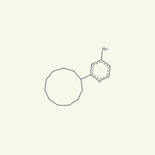 CCC(C)c1ccnc(C2CCCCCCCCCC2)c1